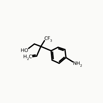 C=CC(CO)(c1ccc(N)cc1)C(F)(F)F